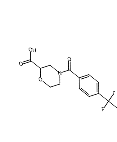 O=C(O)C1CN(C(=O)c2ccc(C(F)(F)F)cc2)CCO1